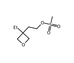 CCC1(CCOS(C)(=O)=O)COC1